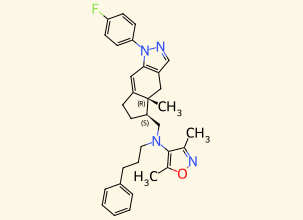 Cc1noc(C)c1N(CCCc1ccccc1)C[C@H]1CCC2=Cc3c(cnn3-c3ccc(F)cc3)C[C@@]21C